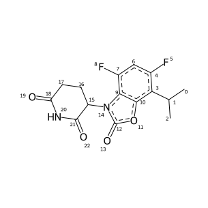 CC(C)c1c(F)cc(F)c2c1oc(=O)n2C1CCC(=O)NC1=O